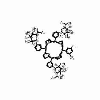 CC(=O)C(O)[C@H]1O[C@@H](c2cccc(-c3c4nc(c(-c5cccc([C@@H]6O[C@H](C(O)C(C)=O)[C@@](O)(C(C)=O)[C@@](O)(C(C)=O)[C@]6(O)C(C)=O)c5)c5ccc([nH]5)c(-c5cc(C(F)(F)F)cc(C(F)(F)F)c5)c5nc(c(-c6cccc([C@@H]7O[C@H](C(O)C(C)=O)[C@@](O)(C(C)=O)[C@@](O)(C(C)=O)[C@]7(O)C(C)=O)c6)c6ccc3[nH]6)C=C5)C=C4)c2)[C@@](O)(C(C)=O)[C@](O)(C(C)=O)[C@]1(O)C(C)=O